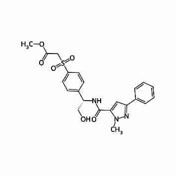 COC(=O)CS(=O)(=O)c1ccc([C@@H](CO)NC(=O)c2cc(-c3ccccc3)nn2C)cc1